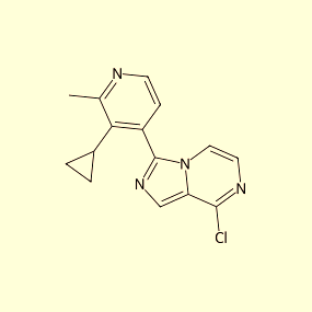 Cc1nccc(-c2ncc3c(Cl)nccn23)c1C1CC1